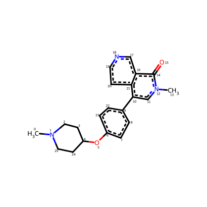 CN1CCC(Oc2ccc(-c3cn(C)c(=O)c4cnccc34)cc2)CC1